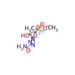 CCOP(=O)(OCC)C(F)(F)C[C@@H]1C[C@@H](O)[C@H](n2cnc(C(N)=O)n2)O1